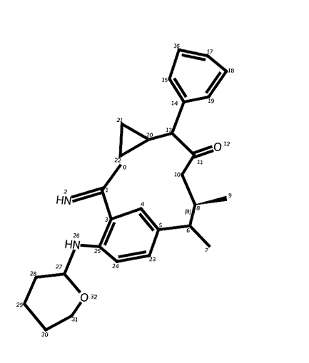 CC(=N)c1cc(C(C)[C@H](C)CC(=O)C(c2ccccc2)C2CC2)ccc1NC1CCCCO1